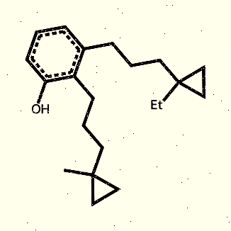 CCC1(CCCc2cccc(O)c2CCCC2(C)CC2)CC1